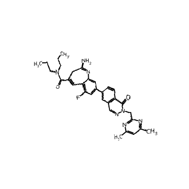 CCCN(CCC)C(=O)C1=Cc2c(F)cc(-c3ccc4c(=O)n(Cc5nc(C)cc(C)n5)ncc4c3)cc2N=C(N)C1